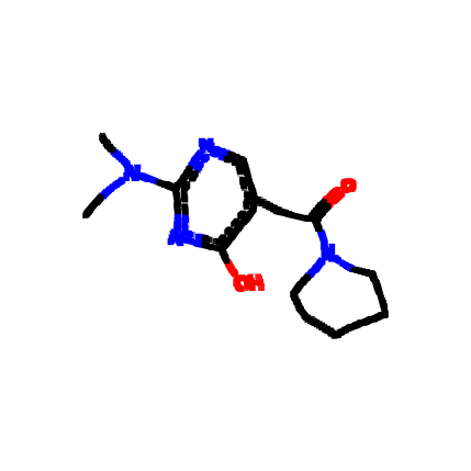 CN(C)c1ncc(C(=O)N2CCCC2)c(O)n1